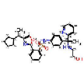 CC(c1coc(-c2ccccc2S(=O)(=O)Nc2ccc(C(C)(NCCO)c3ccccn3)cc2)n1)C1CCCC1